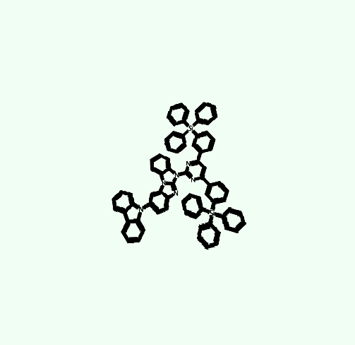 c1ccc([Si](c2ccccc2)(c2ccccc2)c2cccc(-c3cc(-c4cccc([Si](c5ccccc5)(c5ccccc5)c5ccccc5)c4)nc(-n4c5ccccc5n5c6cc(-n7c8ccccc8c8ccccc87)ccc6nc45)n3)c2)cc1